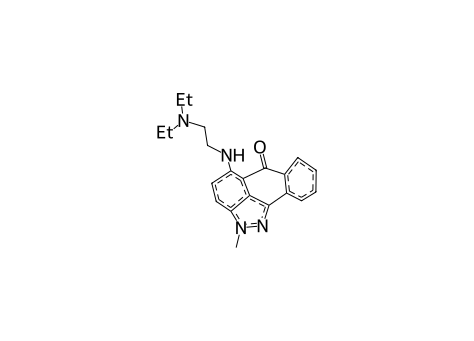 CCN(CC)CCNc1ccc2c3c(nn2C)-c2ccccc2C(=O)c13